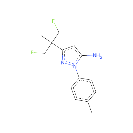 Cc1ccc(-n2nc(C(C)(CF)CF)cc2N)cc1